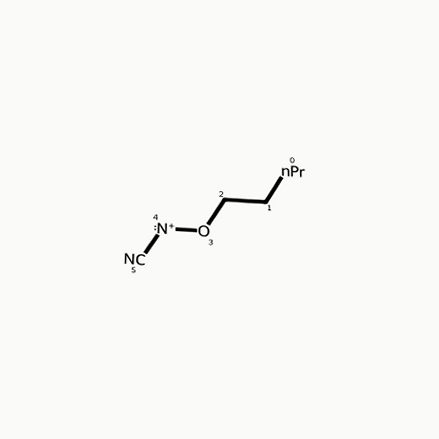 CCCCCO[N+]C#N